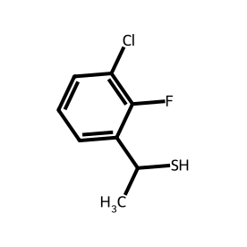 CC(S)c1cccc(Cl)c1F